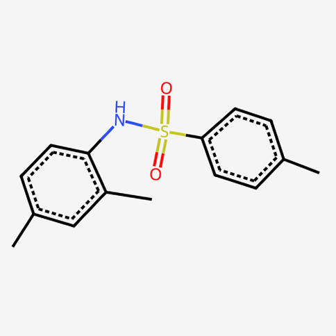 Cc1ccc(S(=O)(=O)Nc2ccc(C)cc2C)cc1